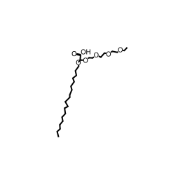 CCCCCCCCCCCCCCCCCCCOC(OCCOCCOCCOCC)C(=O)O